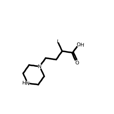 O=C(O)C(I)CCN1CCNCC1